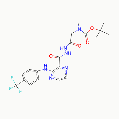 CN(CC(=O)NNC(=O)c1nccnc1Nc1ccc(C(F)(F)F)cc1)C(=O)OC(C)(C)C